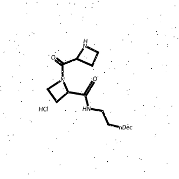 CCCCCCCCCCCCNC(=O)C1CCN1C(=O)C1CCN1.Cl